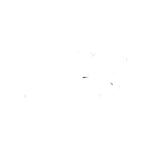 CCCCCCCC(=O)[C@@]1(N)O[C@H](CO)[C@@H](O)[C@H](O)[C@H]1O